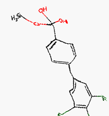 OC(O)(O[SiH3])c1ccc(-c2cc(F)c(F)c(F)c2)cc1